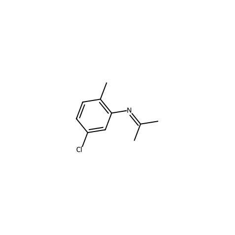 CC(C)=Nc1cc(Cl)ccc1C